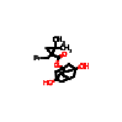 CC(C)CC1(C(=O)OC23CC4CC(O)(CC(O)(C4)C2)C3)CC1(C)C